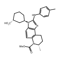 COC(=O)N1c2ccc3c(nc(Nc4ccc(C)cc4)n3[C@@H]3CCC[C@@H](C(=O)O)C3)c2CC[C@@H]1C